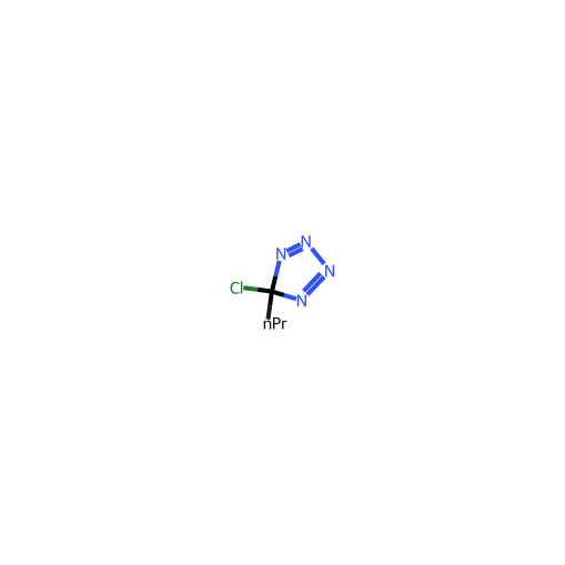 CCCC1(Cl)N=NN=N1